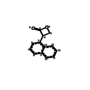 O=C1OCC1c1cccc2ccccc12